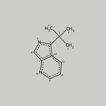 CC(C)(C)c1ncc2ncccn12